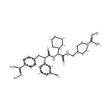 CC(=O)N=C(N)c1ccc(CC(C(=O)NC(C(=O)NCC2CCN(C(N)=NC(C)=O)CC2)C2CCCCC2)c2cccc(Br)c2)cc1